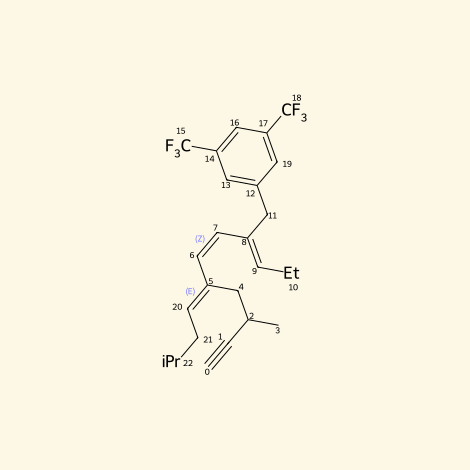 C#CC(C)CC(/C=C\C(=CCC)Cc1cc(C(F)(F)F)cc(C(F)(F)F)c1)=C\CC(C)C